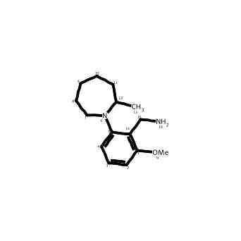 COc1cccc(N2CCCCCC2C)c1CN